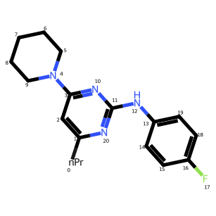 CCCc1cc(N2CCCCC2)nc(Nc2ccc(F)cc2)n1